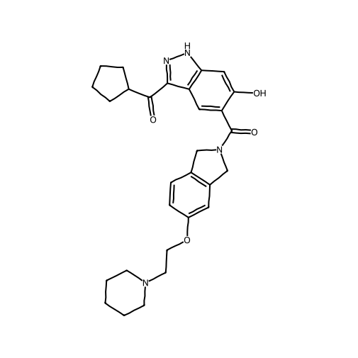 O=C(c1n[nH]c2cc(O)c(C(=O)N3Cc4ccc(OCCN5CCCCC5)cc4C3)cc12)C1CCCC1